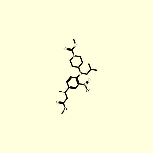 COC(=O)C[C@@H](C)c1ccc(N(CC(C)C)C2CCN(C(=O)OC)CC2)c([N+](=O)[O-])c1